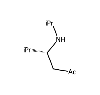 CC(=O)C[C@@H](NC(C)C)C(C)C